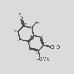 COc1cc2c(cc1C=O)N(C)C(=O)CC2